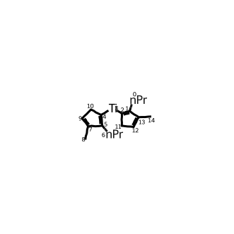 CCCC1=[C]([Ti][C]2=C(CCC)C(C)=CC2)CC=C1C